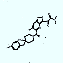 CN(C)C(=O)C(=O)c1snc2cc(Cl)c(C(=O)N3CCC(O)(Cc4ccc(F)cc4)CC3)nc12